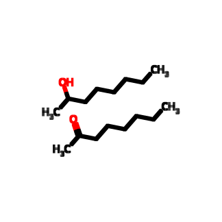 CCCCCCC(C)=O.CCCCCCC(C)O